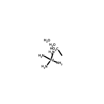 CC(=O)O.O.O.[NH2][Pd]([NH2])([NH2])[NH2]